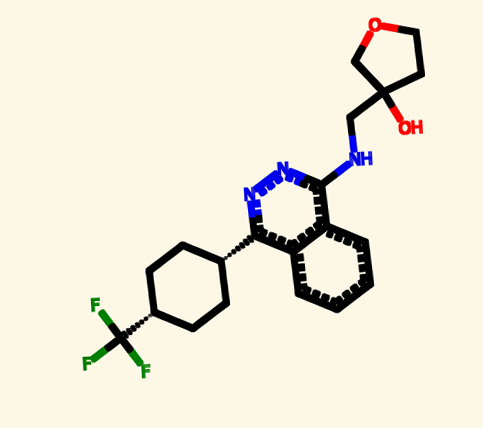 OC1(CNc2nnc([C@H]3CC[C@@H](C(F)(F)F)CC3)c3ccccc23)CCOC1